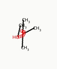 CCCCCCCCCCCCCC(=O)O.CCCCCCCCCCCCCC(=O)OCC(COC(=O)CCCCCCCCCCCCC)OC(=O)CCCCCCCCCCCCC